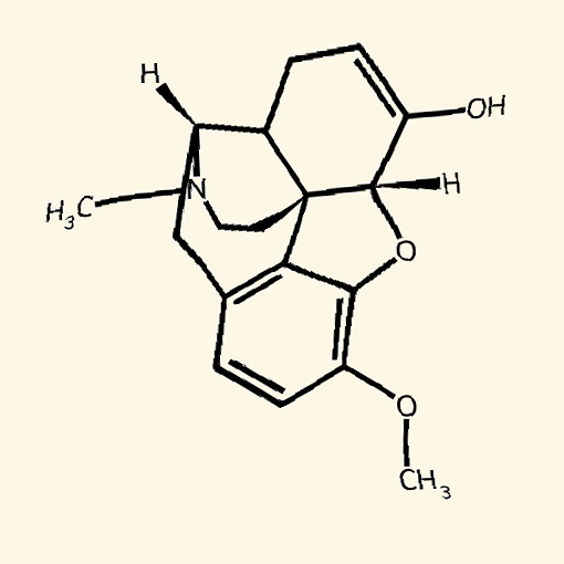 COc1ccc2c3c1O[C@H]1C(O)=CCC4[C@@H](C2)N(C)CC[C@@]341